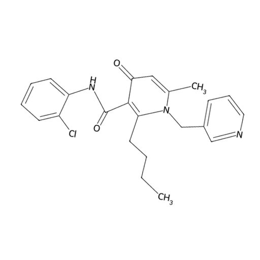 CCCCc1c(C(=O)Nc2ccccc2Cl)c(=O)cc(C)n1Cc1cccnc1